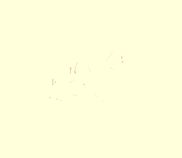 O=Cc1cc(C=O)c2cc(Cc3ccc(F)cc3)cnc2c1O